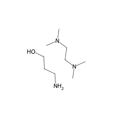 CN(C)CCN(C)C.NCCCO